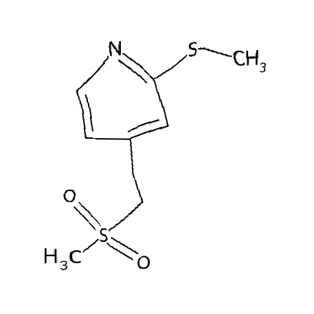 CSc1cc(CS(C)(=O)=O)ccn1